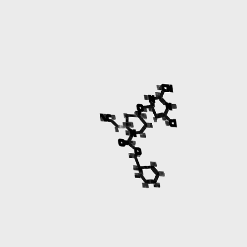 N#CC[C@@H]1C[C@@H](Oc2cc(Cl)nc(C#N)n2)CCN1C(=O)OCc1ccccc1